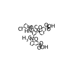 CC(=O)N(c1cc(NC(=O)c2cccc(Cl)c2)cc(C(=O)N(C)c2cccc3cc(S(=O)(=O)O)ccc23)c1)c1cccc2cc(S(=O)(=O)O)ccc12